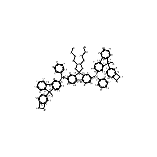 CCCCCCC1(CCCCCC)c2cc(N(c3ccccc3)c3ccc4c(c3)-c3ccccc3C4(C)c3ccc4c(c3)CC4)ccc2-c2ccc(N(c3ccccc3)c3ccc4c(c3)C(C)(c3ccc5c(c3)CC5)c3ccccc3-4)cc21